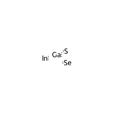 [Ga].[In].[S].[Se]